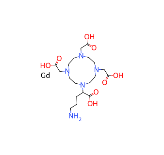 NCCCC(C(=O)O)N1CCN(CC(=O)O)CCN(CC(=O)O)CCN(CC(=O)O)CC1.[Gd]